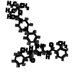 Cc1ccccc1C(=O)Nc1nc(NC(=O)c2ccccc2C)n(-c2ccc(N3CCN(C(O)OC(C)(C)C)CC3)cc2)n1